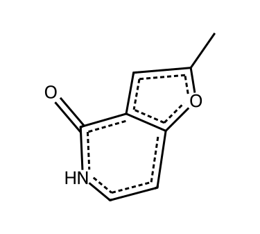 Cc1cc2c(=O)[nH]ccc2o1